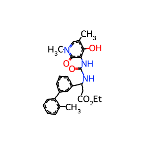 CCOC(=O)CC(NC(=O)Nc1c(O)c(C)cn(C)c1=O)c1cccc(-c2ccccc2C)c1